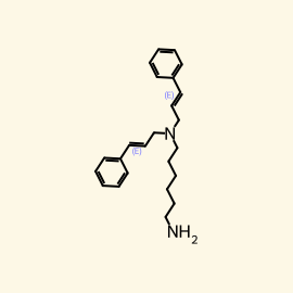 NCCCCCCN(C/C=C/c1ccccc1)C/C=C/c1ccccc1